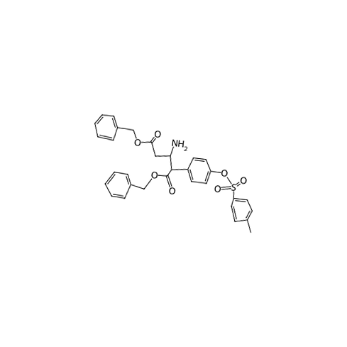 Cc1ccc(S(=O)(=O)Oc2ccc(C(C(=O)OCc3ccccc3)C(N)CC(=O)OCc3ccccc3)cc2)cc1